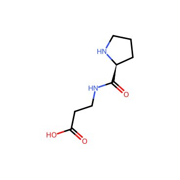 O=C(O)CCNC(=O)[C@@H]1CCCN1